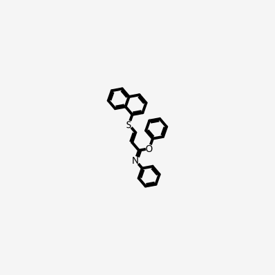 C(=CC(=Nc1ccccc1)Oc1ccccc1)Sc1cccc2ccccc12